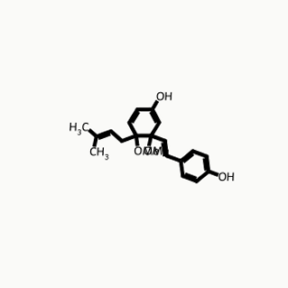 COC1(C=Cc2ccc(O)cc2)C=C(O)C=CC1(CC=C(C)C)OC